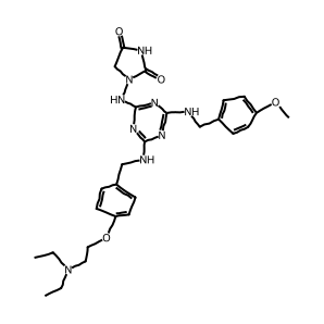 CCN(CC)CCOc1ccc(CNc2nc(NCc3ccc(OC)cc3)nc(NN3CC(=O)NC3=O)n2)cc1